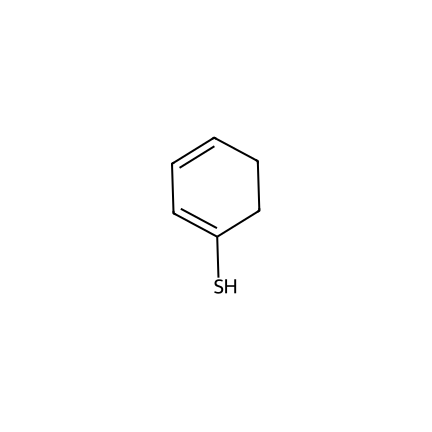 SC1=CC=CCC1